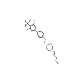 FCCC=C[C@H]1CC[C@H](CCc2ccc(-c3cc(F)c(C(F)(F)F)c(F)c3)cc2)CC1